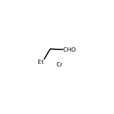 CCCC=O.[Cr]